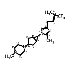 C/C(=C\Cc1cn(C2C3CC(N4CCN(C)CC4)CC32)c(C)n1)C(F)(F)F